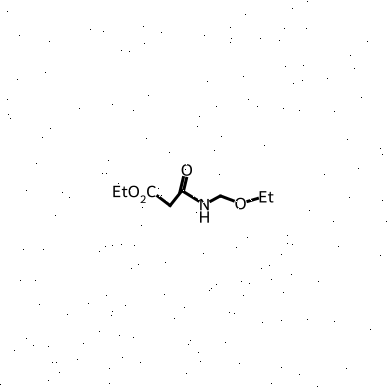 CCOCNC(=O)CC(=O)OCC